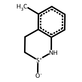 Cc1cccc2c1CC[S+]([O-])N2